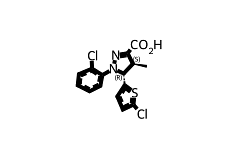 C[C@@H]1C(C(=O)O)=NN(c2ccccc2Cl)[C@H]1c1ccc(Cl)s1